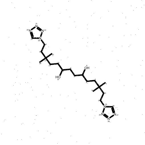 CC(C)(CCC(O)CCC(O)CCC(C)(C)CCn1cnnn1)CCn1cnnn1